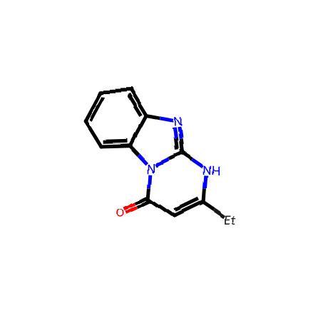 CCc1cc(=O)n2c(nc3ccccc32)[nH]1